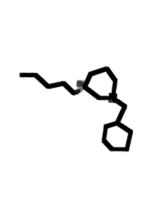 CCCCC[C@@H]1CCCN(CC2CCCCC2)C1